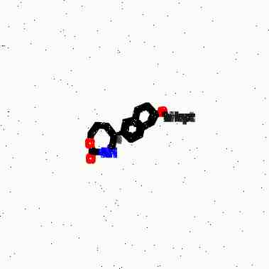 CCCCCCCOC1=Cc2ccc([C@H]3CCCOC(=O)NC3)cc2CC1